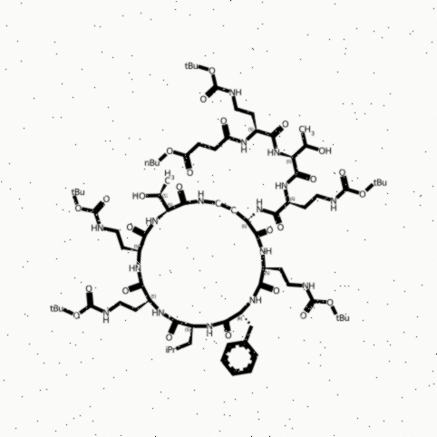 CCCCOC(=O)CCC(=O)N[C@@H](CCNC(=O)OC(C)(C)C)C(=O)N[C@H](C(=O)N[C@@H](CCNC(=O)OC(C)(C)C)C(=O)N[C@H]1CCNC(=O)[C@H]([C@H](C)O)NC(=O)[C@H](CCNC(=O)OC(C)(C)C)NC(=O)[C@H](CCNC(=O)OC(C)(C)C)NC(=O)[C@H](CC(C)C)NC(=O)[C@@H](Cc2ccccc2)NC(=O)[C@H](CCNC(=O)OC(C)(C)C)NC1=O)C(C)O